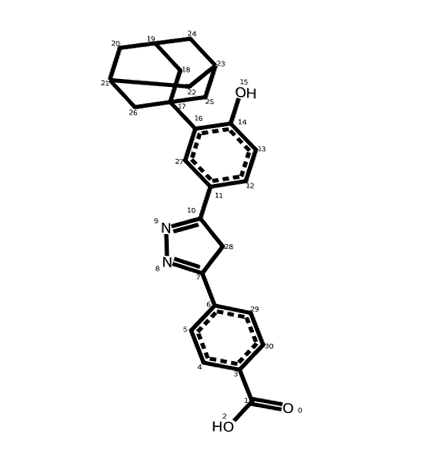 O=C(O)c1ccc(C2=NN=C(c3ccc(O)c(C45CC6CC(CC(C6)C4)C5)c3)C2)cc1